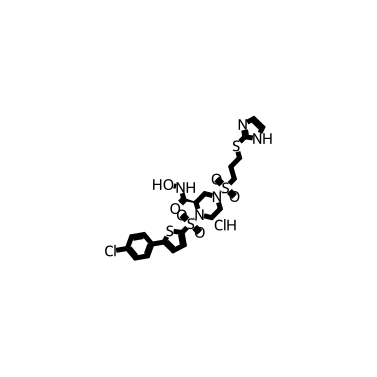 Cl.O=C(NO)[C@H]1CN(S(=O)(=O)CCCSc2ncc[nH]2)CCN1S(=O)(=O)c1ccc(-c2ccc(Cl)cc2)s1